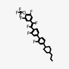 CCCC1CCC(c2ccc(-c3ccc(/C(F)=C(\F)c4cc(F)c(OC(F)(F)F)c(F)c4)c(F)c3)c(F)c2)CC1